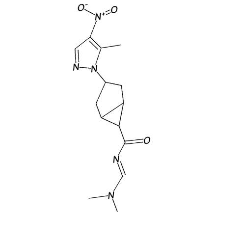 Cc1c([N+](=O)[O-])cnn1C1CC2C(C1)C2C(=O)N=CN(C)C